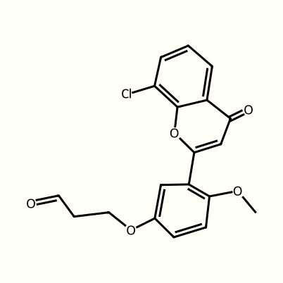 COc1ccc(OCCC=O)cc1-c1cc(=O)c2cccc(Cl)c2o1